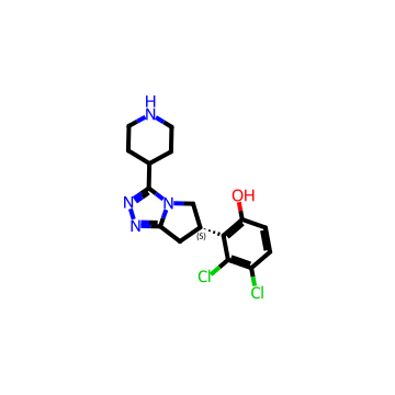 Oc1ccc(Cl)c(Cl)c1[C@@H]1Cc2nnc(C3CCNCC3)n2C1